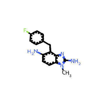 Cn1c(N)nc2c(Cc3ccc(F)cc3)c(N)ccc21